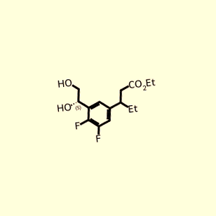 CCOC(=O)CC(CC)c1cc(F)c(F)c([C@H](O)CO)c1